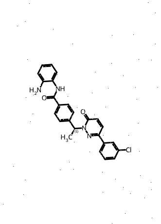 C[C@@H](c1ccc(C(=O)Nc2ccccc2N)cc1)n1nc(-c2cccc(Cl)c2)ccc1=O